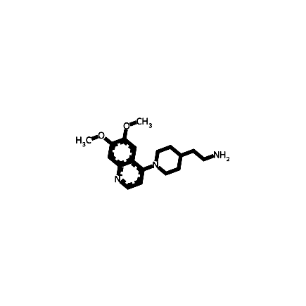 COc1cc2nccc(N3CCC(CCN)CC3)c2cc1OC